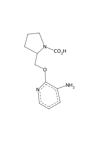 Nc1cccnc1OCC1CCCN1C(=O)O